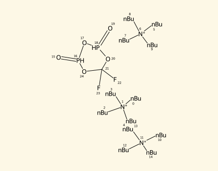 CCCC[N+](CCCC)(CCCC)CCCC.CCCC[N+](CCCC)(CCCC)CCCC.CCCC[N+](CCCC)(CCCC)CCCC.O=[PH]1O[PH](=O)OC(F)(F)O1